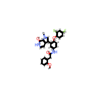 COc1ccccc1CC(=O)Nc1ccc(Oc2ccc(F)cc2F)c(-c2cn(C)c3c(=O)[nH]ccc23)c1